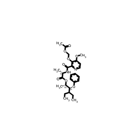 CCC(CC)[C@@H](Oc1ccccc1)[C@H](C)OC(=O)[C@H](C)NC(=O)c1nccc(OC)c1OCOC(C)=O